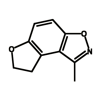 Cc1noc2ccc3c(c12)CCO3